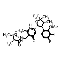 COc1c([C@H]2[C@H](c3cc(=O)c(CNC(=O)[C@H](C)N(C)C)c(C)[nH]3)O[C@@](C)(C(F)(F)F)[C@H]2C)ccc(F)c1F